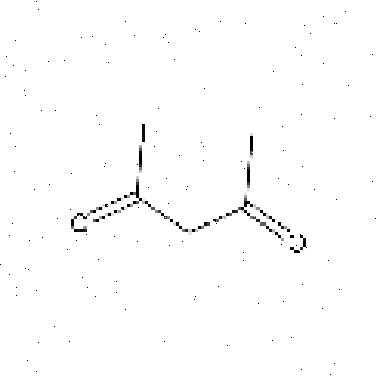 O=C(I)CC(=O)I